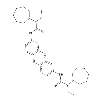 CCC(C(=O)Nc1ccc2cc3ccc(NC(=O)C(CC)N4CCCCCC4)cc3nc2c1)N1CCCCCC1